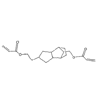 C=CC(=O)OCCC1CC2C3CCC(C3COC(=O)C=C)C2C1